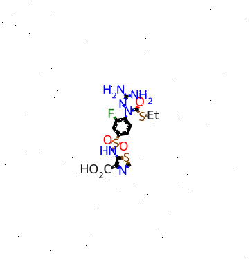 CCSC(=O)N(N=C(N)N)c1ccc(S(=O)(=O)Nc2scnc2C(=O)O)cc1F